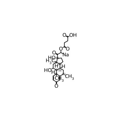 C[C@H]1C[C@@H]2[C@H](C(O)C[C@@]3(C)[C@H]2CC[C@]3(O)C(=O)[CH]([Na])OC(=O)CCC(=O)O)[C@@]2(C)C=CC(=O)C=C12